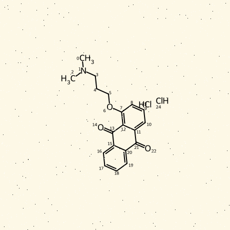 CN(C)CCCOc1cccc2c1C(=O)c1ccccc1C2=O.Cl.Cl